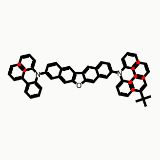 CC(C)(C)c1ccc(-c2ccccc2N(c2ccc3cc4c(cc3c2)oc2cc3cc(N(c5ccccc5)c5ccccc5-c5ccccc5)ccc3cc24)c2ccccc2-c2ccccc2)cc1